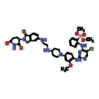 COc1cc(N2CCC(NCCNc3ccc4c(c3)CN(C3CCC(=O)NC3=O)C4=O)CC2)ccc1Nc1ncc(Cl)c(Nc2ccccc2P(=O)(OC)OC)n1